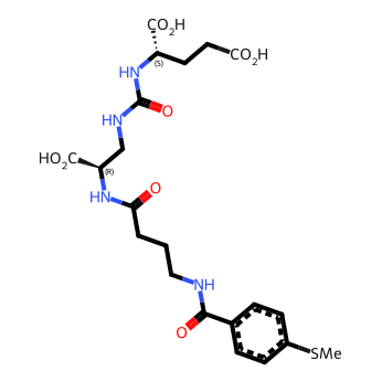 CSc1ccc(C(=O)NCCCC(=O)N[C@H](CNC(=O)N[C@@H](CCC(=O)O)C(=O)O)C(=O)O)cc1